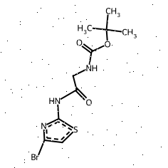 CC(C)(C)OC(=O)NCC(=O)Nc1nc(Br)cs1